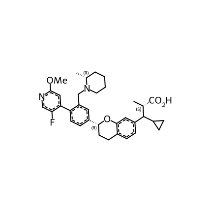 COc1cc(-c2ccc([C@H]3CCc4ccc(C(C5CC5)[C@H](C)C(=O)O)cc4O3)cc2CN2CCCC[C@H]2C)c(F)cn1